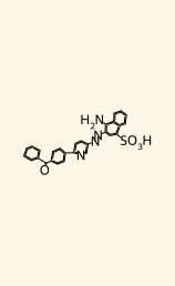 Nc1c(/N=N/c2ccc(-c3ccc(C(=O)c4ccccc4)cc3)nc2)cc(S(=O)(=O)O)c2ccccc12